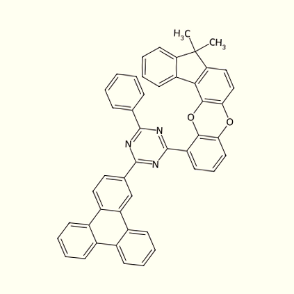 CC1(C)c2ccccc2-c2c1ccc1c2Oc2c(cccc2-c2nc(-c3ccccc3)nc(-c3ccc4c5ccccc5c5ccccc5c4c3)n2)O1